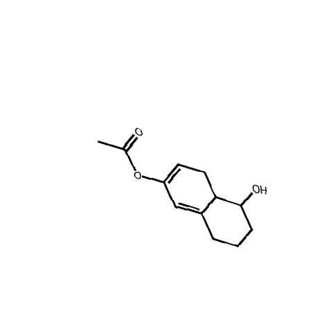 CC(=O)OC1=CCC2C(=C1)CCCC2O